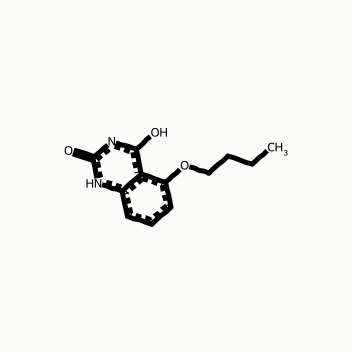 CCCCOc1cccc2[nH]c(=O)nc(O)c12